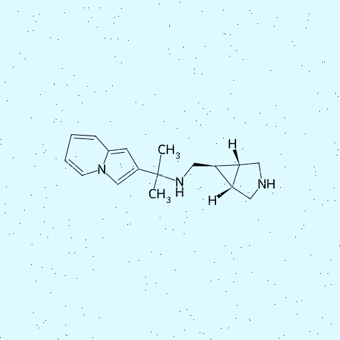 CC(C)(NC[C@H]1[C@@H]2CNC[C@@H]21)c1cc2ccccn2c1